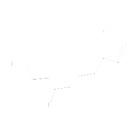 CCCCCCCC/C=C\CCCCC(CC)CCC(=O)O